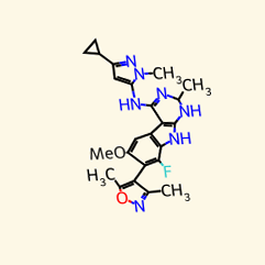 COc1cc2c3c([nH]c2c(F)c1-c1c(C)noc1C)NC(C)N=C3Nc1cc(C2CC2)nn1C